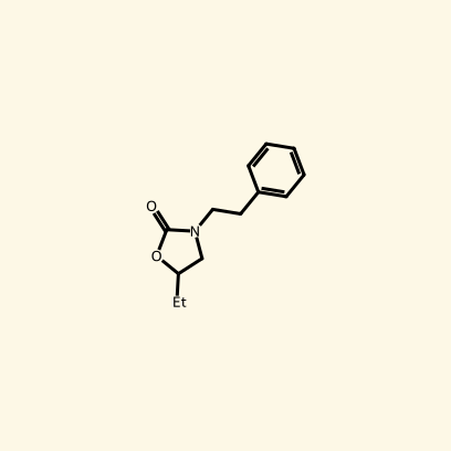 CCC1CN(CCc2ccccc2)C(=O)O1